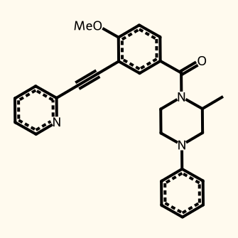 COc1ccc(C(=O)N2CCN(c3ccccc3)CC2C)cc1C#Cc1ccccn1